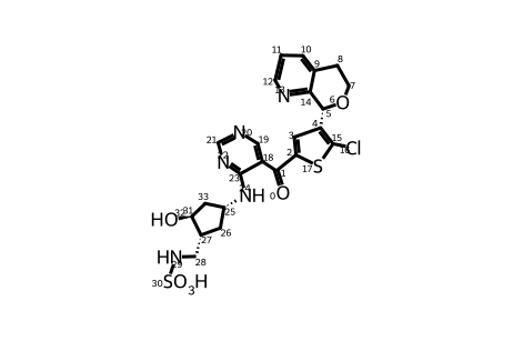 O=C(c1cc([C@H]2OCCc3cccnc32)c(Cl)s1)c1cncnc1N[C@@H]1C[C@H](CNS(=O)(=O)O)[C@@H](O)C1